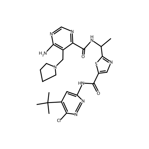 CC(NC(=O)c1ncnc(N)c1CN1CCCC1)c1ncc(C(=O)Nc2cc(C(C)(C)C)c(Cl)nn2)s1